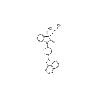 O=C1N(C2CCN(C3Cc4cccc5cccc3c45)CC2)c2ccccc2C1(F)CC(O)CO